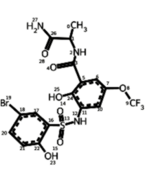 CC(NC(=O)c1cc(OC(F)(F)F)cc(NS(=O)(=O)c2cc(Br)ccc2O)c1O)C(N)=O